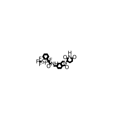 O=C1CCC(N2Cc3cc(CNC(=O)C(F)(F)c4ccccc4SC(F)(F)F)ccc3C2=O)C(=O)N1